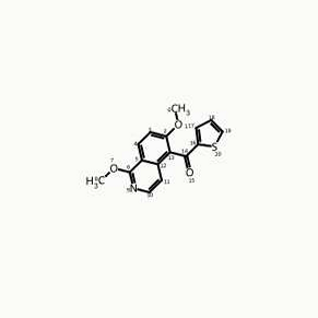 COc1ccc2c(OC)nccc2c1C(=O)c1cccs1